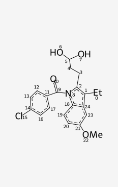 CCc1c(CCC(O)O)n(C(=O)c2ccc(Cl)cc2)c2ccc(OC)cc12